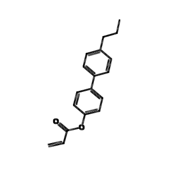 C=CC(=O)Oc1ccc(-c2ccc(CCC)cc2)cc1